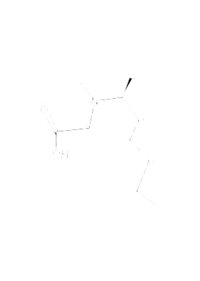 CCCCC[C@H](C)N(C)CC(=O)O